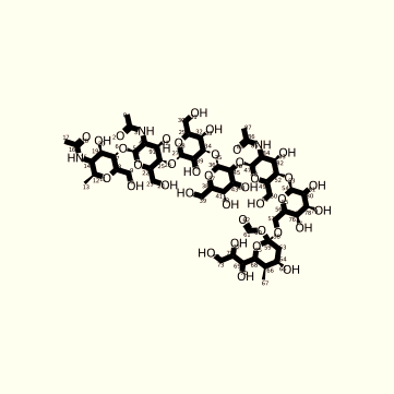 CC(=O)NC1[C@H](O[C@@H]2C(CO)O[C@@H](C)C(NC(C)=O)[C@H]2O)OC(CO)[C@@H](O[C@@H]2OC(CO)[C@@H](O)[C@H](O[C@H]3OC(CO)[C@@H](O)C(O)C3O[C@@H]3OC(CO)[C@H](O[C@@H]4OC(CO[C@]5(OC=O)C[C@@H](O)[C@@H](C)C(C(O)C(O)CO)O5)[C@H](O)[C@H](O)C4O)[C@H](O)C3NC(C)=O)C2O)[C@@H]1O